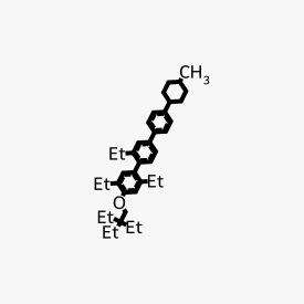 CCc1cc(-c2ccc(-c3ccc(C4CCC(C)CC4)cc3)cc2CC)c(CC)cc1OCC(CC)(CC)CC